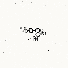 Cn1cnnc1Cn1c(=O)oc2ccc(-c3ccc(OC(F)(F)F)cc3)nc21